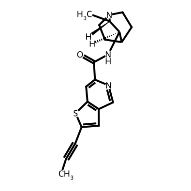 CC#Cc1cc2cnc(C(=O)N[C@@H]3C4CCN(CC4)[C@H]3C)cc2s1